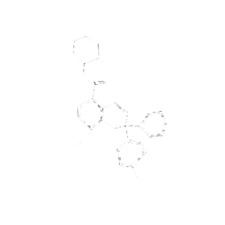 COc1ccc(C(=O)OC2CCCCC2)c2c1CC(c1ccccc1)(c1ccc(C)cc1)C=C2